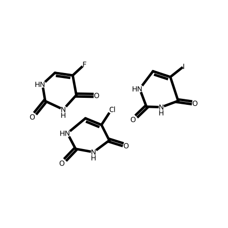 O=c1[nH]cc(Cl)c(=O)[nH]1.O=c1[nH]cc(F)c(=O)[nH]1.O=c1[nH]cc(I)c(=O)[nH]1